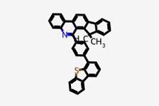 CC1(C)c2ccccc2-c2ccc3c(c(-c4ccc(-c5cccc6c5sc5ccccc56)cc4)nc4ccccc43)c21